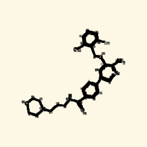 Nc1ncc(-c2ccc(C(=O)NCCCN3CCOCC3)cc2)cc1OCc1c(F)cccc1Cl